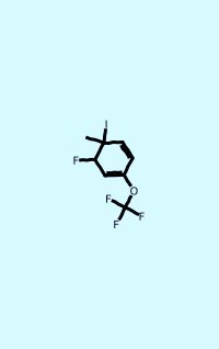 CC1(I)C=CC(OC(F)(F)F)=CC1F